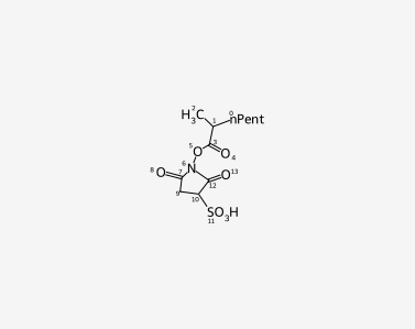 CCCCCC(C)C(=O)ON1C(=O)CC(S(=O)(=O)O)C1=O